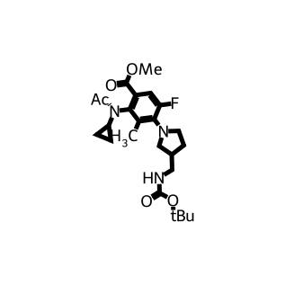 COC(=O)c1cc(F)c(N2CCC(CNC(=O)OC(C)(C)C)C2)c(C)c1N(C(C)=O)C1CC1